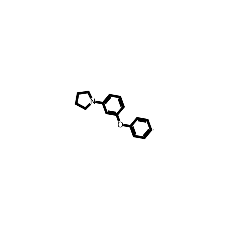 [c]1ccc(Oc2cccc(N3CCCC3)c2)cc1